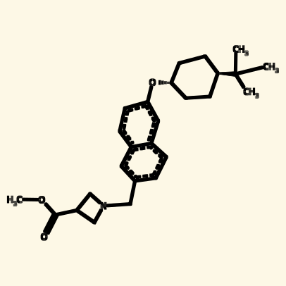 COC(=O)C1CN(Cc2ccc3cc(O[C@H]4CC[C@H](C(C)(C)C)CC4)ccc3c2)C1